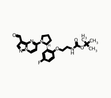 CC(C)(C)OC(=O)NCCOc1ccc(F)cc1[C@H]1CCCN1c1ccn2ncc(C=O)c2n1